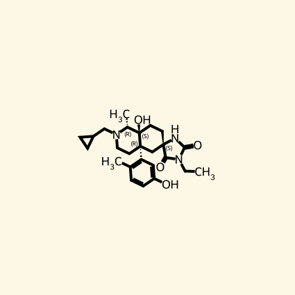 CCN1C(=O)N[C@]2(CC[C@@]3(O)[C@@H](C)N(CC4CC4)CC[C@]3(c3cc(O)ccc3C)C2)C1=O